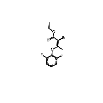 CCOC(=O)/C(Br)=C(/C)Oc1c(F)cccc1F